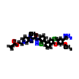 COc1cc(OC2CCc3c(-c4cccc(NC(=O)c5nc6c(n5C)CCN(CCOC(=O)C5CC5)C6)c4Cl)cccc32)c(Cl)cc1CN